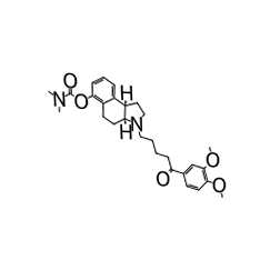 COc1ccc(C(=O)CCCCN2CC[C@H]3c4cccc(OC(=O)N(C)C)c4CC[C@H]32)cc1OC